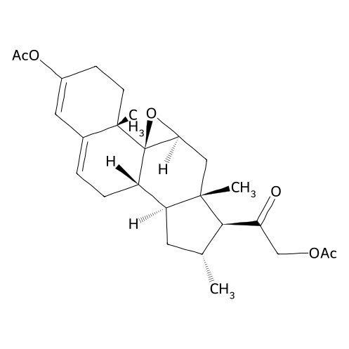 CC(=O)OCC(=O)[C@H]1[C@H](C)C[C@H]2[C@@H]3CC=C4C=C(OC(C)=O)CC[C@]4(C)[C@@]34O[C@H]4C[C@@]21C